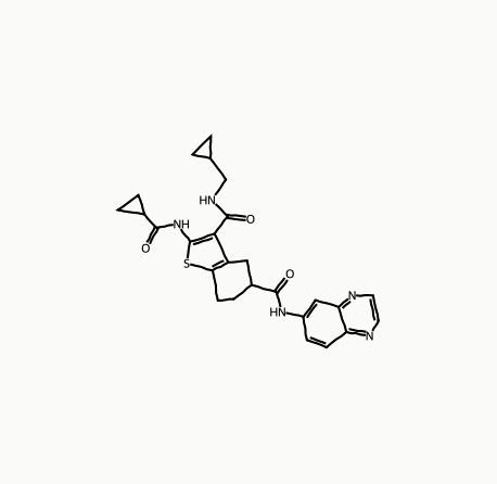 O=C(NCC1CC1)c1c(NC(=O)C2CC2)sc2c1CC(C(=O)Nc1ccc3nccnc3c1)CC2